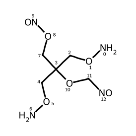 NOCC(CON)(CON=O)OCN=O